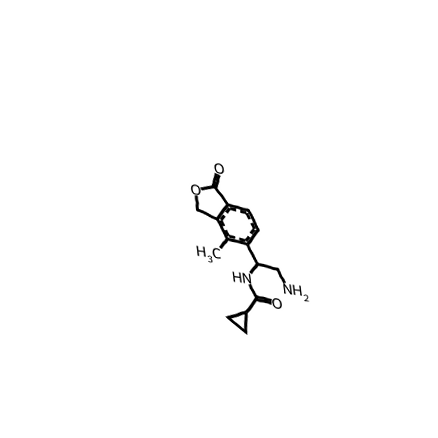 Cc1c(C(CN)NC(=O)C2CC2)ccc2c1COC2=O